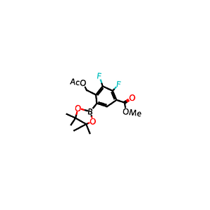 COC(=O)c1cc(B2OC(C)(C)C(C)(C)O2)c(COC(C)=O)c(F)c1F